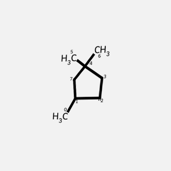 CC1[C]CC(C)(C)C1